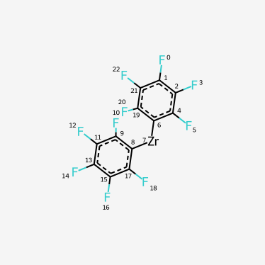 Fc1c(F)c(F)[c]([Zr][c]2c(F)c(F)c(F)c(F)c2F)c(F)c1F